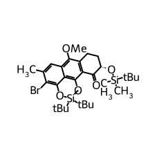 COc1c2c(c3c4c(c(Br)c(C)cc14)O[Si](C(C)(C)C)(C(C)(C)C)O3)C(=O)[C@@H](O[Si](C)(C)C(C)(C)C)CC2